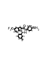 Nc1ccc(NC(=O)c2cc3cc(C(F)(F)F)cnc3n2Cc2cccc(F)c2)cn1